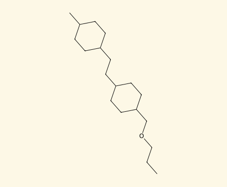 CCCOCC1CCC(CCC2CCC(C)CC2)CC1